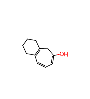 OC1=CC=CC2=C(CCCC2)C1